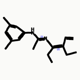 C=C/C(CC)=C(CC)\N=C(/C)Nc1cc(C)cc(C)c1